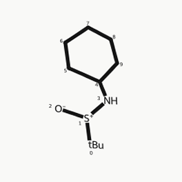 CC(C)(C)[S+]([O-])NC1CCCCC1